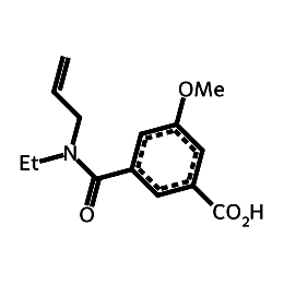 C=CCN(CC)C(=O)c1cc(OC)cc(C(=O)O)c1